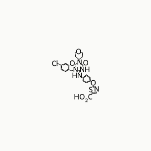 O=C(O)c1cnc(Oc2ccc(NC3NC(=O)N(C4CCOCC4)C(=O)N3Cc3ccc(Cl)cc3)cc2)s1